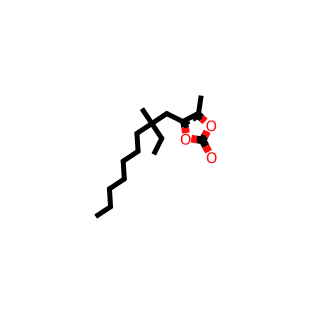 CCCCCCCC(C)(CC)Cc1oc(=O)oc1C